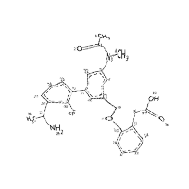 CC(=O)N(C)c1cc(COc2ccccc2CC(=O)O)cc(-c2cccc(C(C)N)c2F)c1